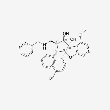 COc1cncc2c1[C@]1(O)[C@H](O)[C@H](CNCc3ccccc3)[C@@H](c3ccccc3)[C@]1(c1ccc(Br)cc1)O2